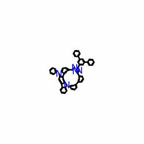 c1ccc(-c2cc(-c3ccccc3)cc(-c3nc4nc(n3)c3ccc5c(c3)c3cc6c(cc3n5-c3ccccc3)c3ccccc3n6c3cccc(c3)c3cccc4c3)c2)cc1